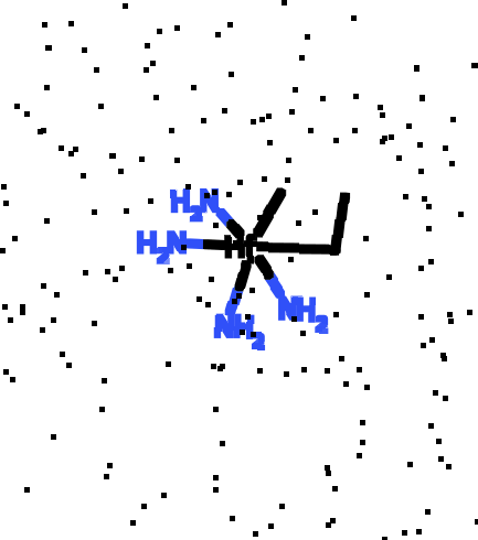 C[CH2][Hf]([CH3])([NH2])([NH2])([NH2])[NH2]